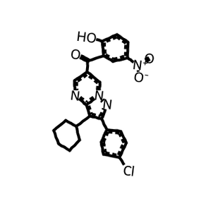 O=C(c1cnc2c(C3CCCCC3)c(-c3ccc(Cl)cc3)nn2c1)c1cc([N+](=O)[O-])ccc1O